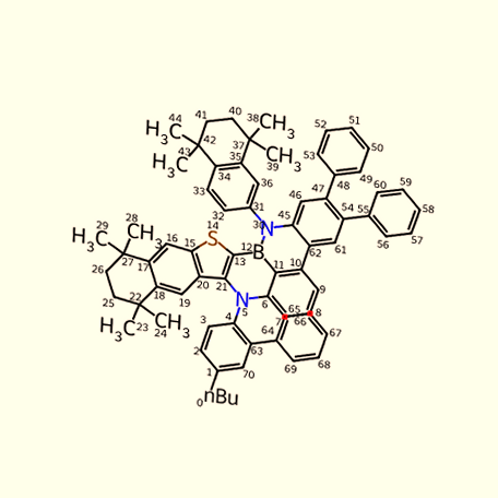 CCCCc1ccc(N2c3cccc4c3B(c3sc5cc6c(cc5c32)C(C)(C)CCC6(C)C)N(c2ccc3c(c2)C(C)(C)CCC3(C)C)c2cc(-c3ccccc3)c(-c3ccccc3)cc2-4)c(-c2ccccc2)c1